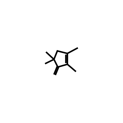 C=C1C(C)=C(C)CC1(C)C